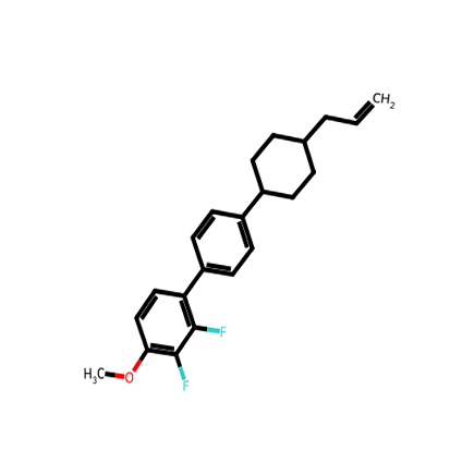 C=CCC1CCC(c2ccc(-c3ccc(OC)c(F)c3F)cc2)CC1